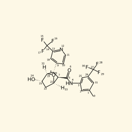 Cc1cc(NC(=O)[C@@H]2[C@@H](c3ccnc(C(F)(F)F)c3)[C@H]3O[C@@H]2C[C@@H]3O)cc(C(F)(F)F)c1